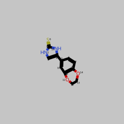 S=c1[nH]cc(-c2ccc3c(c2)OCCO3)[nH]1